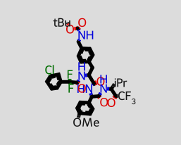 COc1ccc(C(NC(=O)C(Cc2ccc(CNC(=O)OC(C)(C)C)cc2)NC(=O)C(F)(F)c2cccc(Cl)c2)C(=O)NC(C(=O)C(F)(F)F)C(C)C)cc1